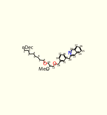 CCCCCCCCCCCCCCCCCCOCC(COCc1cccc(Cc2cc3ccccc3cn2)c1)OC